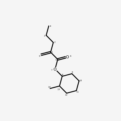 C=C(CCC)C(=O)OC1CCCCC1C